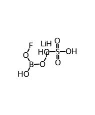 O=S(=O)(O)O.OB(OF)OF.[LiH]